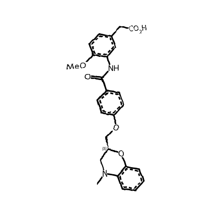 COc1ccc(CC(=O)O)cc1NC(=O)c1ccc(OC[C@@H]2CN(C)c3ccccc3O2)cc1